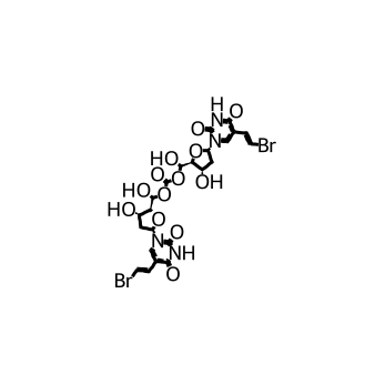 O=C(OC(O)[C@H]1O[C@@H](n2cc(C=CBr)c(=O)[nH]c2=O)C[C@@H]1O)OC(O)[C@H]1O[C@@H](n2cc(C=CBr)c(=O)[nH]c2=O)C[C@@H]1O